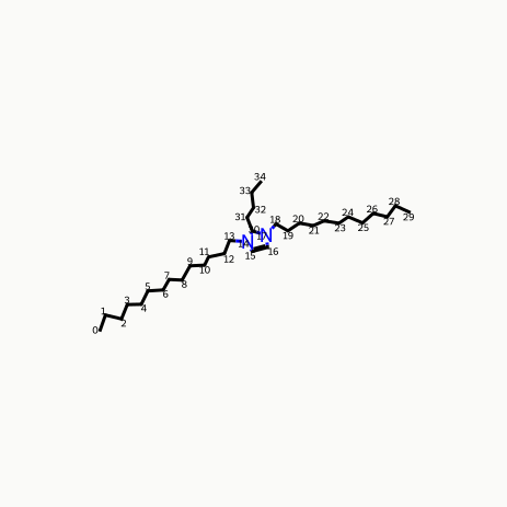 CCCCCCCCCCCCCCN1C=CN(CCCCCCCCCCCC)C1CCCC